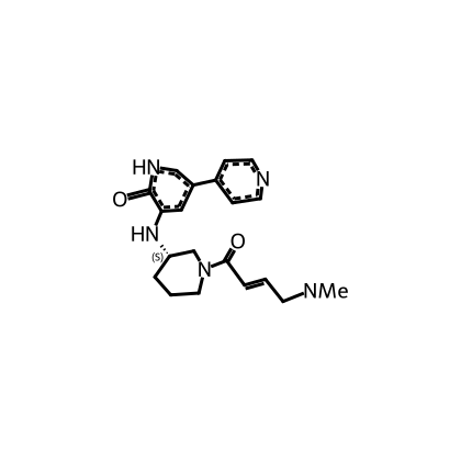 CNCC=CC(=O)N1CCC[C@H](Nc2cc(-c3ccncc3)c[nH]c2=O)C1